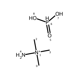 C[N+](C)(C)N.O=[PH](O)O